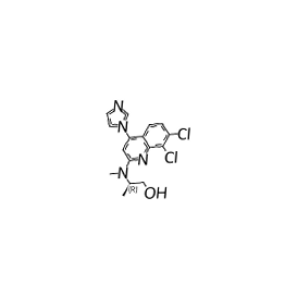 C[C@H](CO)N(C)c1cc(-n2ccnc2)c2ccc(Cl)c(Cl)c2n1